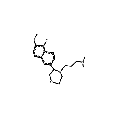 COc1ccc2cc(C3COCCN3CCCN(C)C)ccc2c1Cl